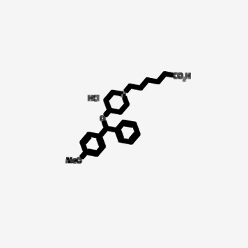 COc1ccc(C(OC2CCN(CCCCCC(=O)O)CC2)c2ccccc2)cc1.Cl